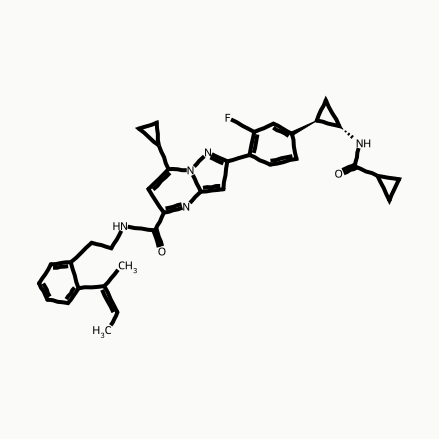 C/C=C(/C)c1ccccc1CCNC(=O)c1cc(C2CC2)n2nc(-c3ccc([C@H]4C[C@@H]4NC(=O)C4CC4)cc3F)cc2n1